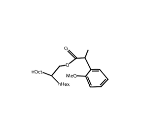 CCCCCCCCC(CCCCCC)COC(=O)C(C)c1ccccc1OC